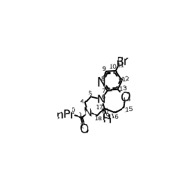 CCCC(=O)N1CCN2c3ncc(Br)cc3OCC[C@@H]2C1